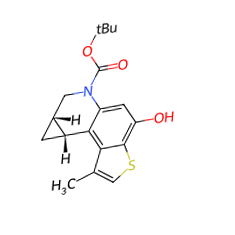 Cc1csc2c(O)cc3c(c12)[C@@H]1C[C@@H]1CN3C(=O)OC(C)(C)C